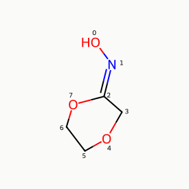 O/N=C1/COCCO1